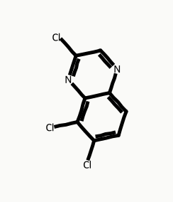 Clc1cnc2ccc(Cl)c(Cl)c2n1